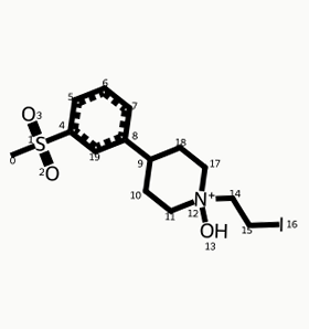 CS(=O)(=O)c1cccc(C2CC[N+](O)(CCI)CC2)c1